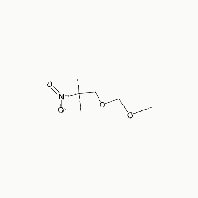 COCOCC(C)(C)[N+](=O)[O-]